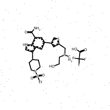 CCS(=O)(=O)N1CCC(c2c[nH]c3c(C(N)=O)cc(-c4csc(CN(C)CCO)c4)cc23)CC1.O=C(O)C(F)(F)F